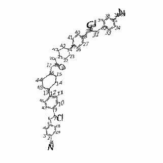 N#Cc1ccc(CC(Cl)c2ccc(C3CCC(CC(=O)C[C@H]4CC[C@H](c5ccc(C(Cl)Cc6ccc(C#N)cc6)cc5)CC4)CC3)cc2)cc1